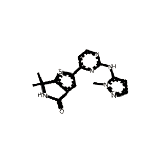 Cn1nccc1Nc1nccc(-c2cc3c(s2)C(C)(C)NC3=O)n1